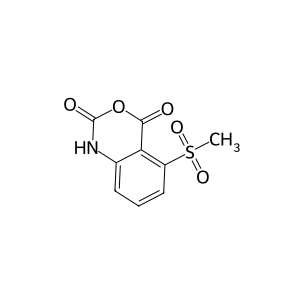 CS(=O)(=O)c1cccc2[nH]c(=O)oc(=O)c12